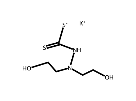 OCCN(CCO)NC(=S)[S-].[K+]